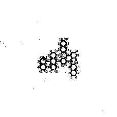 c1ccc2cc(-c3c4ccccc4c(-c4ccc5ccccc5c4)c4cc(-c5c6ccccc6c(-c6nccc7ccccc67)c6ccccc56)ccc34)ccc2c1